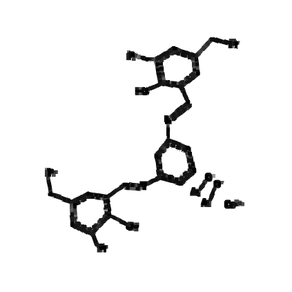 CC(=O)[O-].CC(=O)[O-].CC(C)Cc1cc(C=Nc2cccc(N=Cc3cc(CC(C)C)cc(C(C)C)c3O)c2)c(O)c(C(C)C)c1.[Co+2]